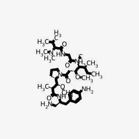 CC[C@H](C)[C@@H]([C@@H](CC(=O)N1CCC[C@H]1[C@H](OC)[C@@H](C)C(=O)N[C@H](CN)Cc1ccc(N)cc1)OC)N(C)C(=O)CNC(=O)C(C(C)C)N(C)C